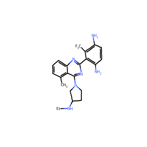 CCNC1CCN(c2nc(-c3c(N)ccc(N)c3C(F)(F)F)nc3cccc(C)c23)C1